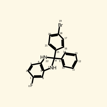 Fc1ccc2c(c1)NC(c1ccccc1)(c1ccc(Br)cc1)N2